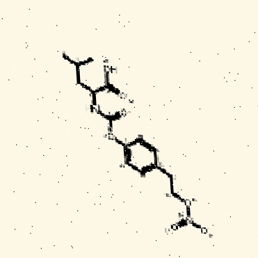 CC(C)CC(NC(=O)Oc1ccc(CCO[N+](=O)[O-])cc1)C(=O)O